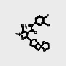 CCc1cc(NC(=O)c2c(C3CC4CC5(OCCO5)C4C3)nn(C)c2N)ccc1F